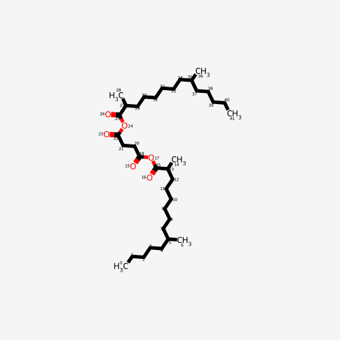 CCCCCC(C)CCCCCCC(C)C(=O)OC(=O)CCC(=O)OC(=O)C(C)CCCCCCC(C)CCCCC